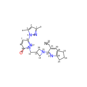 Cc1cc(C)n(-c2ccc(=O)n(CC3CN(c4nc5c(cc4C#N)CCC5)C3)n2)n1